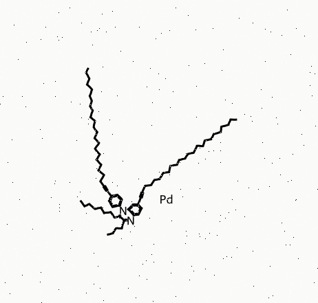 CCCCCCCCCCCCCCCCCCCCCCC#Cc1ccc(N=C(CCCC)C(CCCCCCCC)=Nc2ccc(C#CCCCCCCCCCCCCCCCCCCCCCC)cc2)cc1.[Pd]